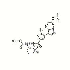 CCc1sc(C(=O)N[C@@H]2[C@H](NC(=O)OC(C)(C)C)CCCC2(F)F)cc1-c1cnn2cc(OC(F)F)cnc12